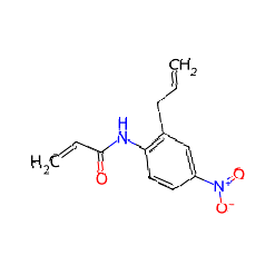 C=CCc1cc([N+](=O)[O-])ccc1NC(=O)C=C